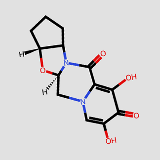 O=C1c2c(O)c(=O)c(O)cn2C[C@H]2O[C@@H]3CCCC3N12